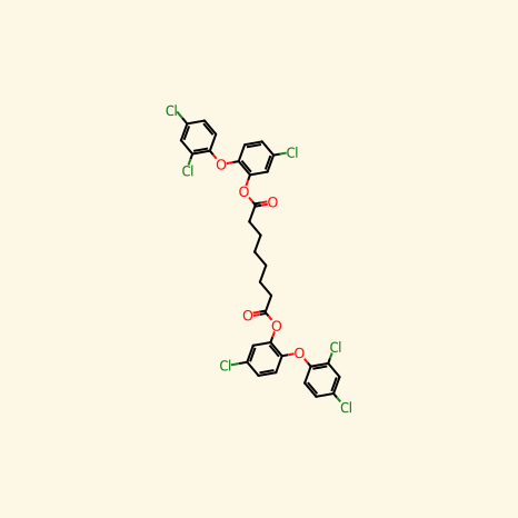 O=C(CCCCCCC(=O)Oc1cc(Cl)ccc1Oc1ccc(Cl)cc1Cl)Oc1cc(Cl)ccc1Oc1ccc(Cl)cc1Cl